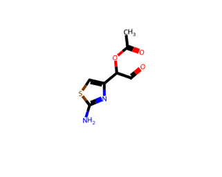 CC(=O)OC([C]=O)c1csc(N)n1